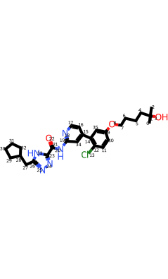 CC(C)(O)CCCCOc1ccc(Cl)c(-c2ccnc(NC(=O)c3nnc(CC4CCCC4)[nH]3)c2)c1